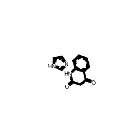 O=C1CC(=O)c2ccccc2N1.c1c[nH]cn1